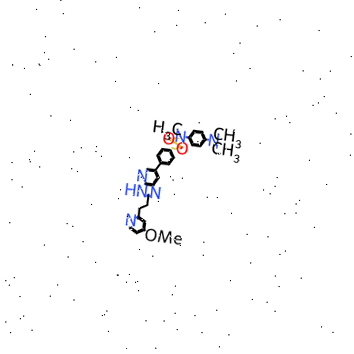 COc1ccnc(CCc2nc3cc(-c4ccc(S(=O)(=O)N(C)c5ccc(N(C)C)cc5)cc4)cnc3[nH]2)c1